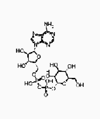 Nc1ncnc2c1ncn2[C@@H]1O[C@H](COP(=O)(O)OP(=O)(O)O[C@H]2O[C@H](CO)[C@@H](O)[C@H](O)[C@@H]2O)[C@@H](O)[C@H]1O